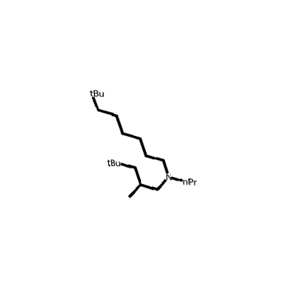 CCCN(CCCCCCC(C)(C)C)CC(C)CC(C)(C)C